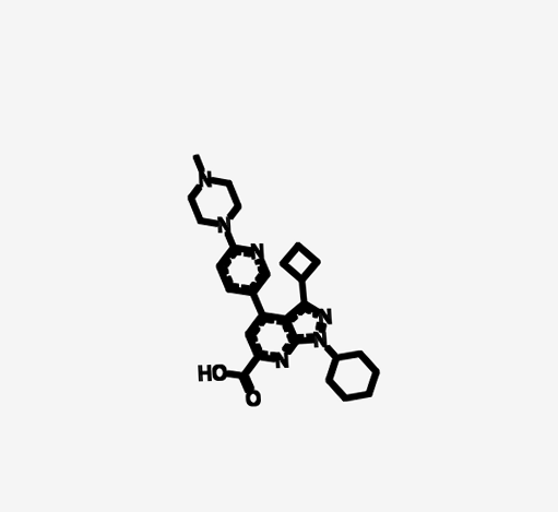 CN1CCN(c2ccc(-c3cc(C(=O)O)nc4c3c(C3CCC3)nn4C3CCCCC3)cn2)CC1